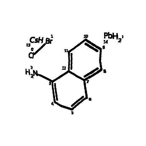 ClBr.Nc1cccc2ccccc12.[CsH].[PbH2]